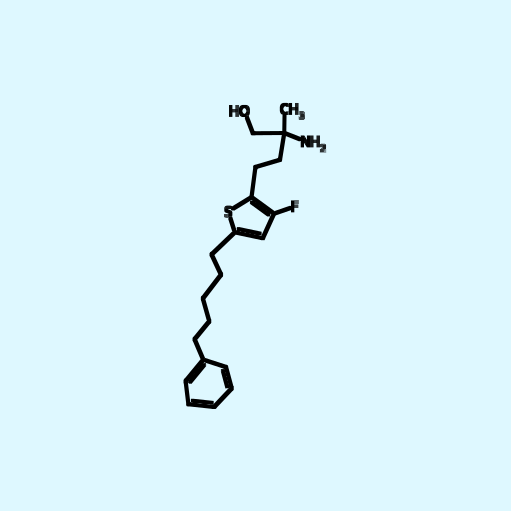 CC(N)(CO)CCc1sc(CCCCCc2ccccc2)cc1F